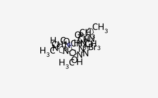 CO/N=C(\C)c1cc(NC2=NCC(C)(Br)C(Nc3cnc4c(c3P(C)(C)=O)C=CC(C)C4)=N2)c(OC)cc1N1CCC(N(C)C)CC1